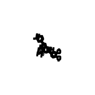 COc1ccc(C2CC(C(F)(F)F)n3nc(-c4ccnc(C)c4)cc3N2)cc1OC